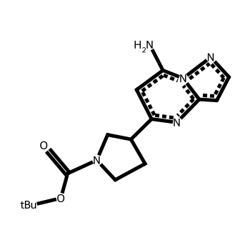 CC(C)(C)OC(=O)N1CCC(c2cc(N)n3nccc3n2)C1